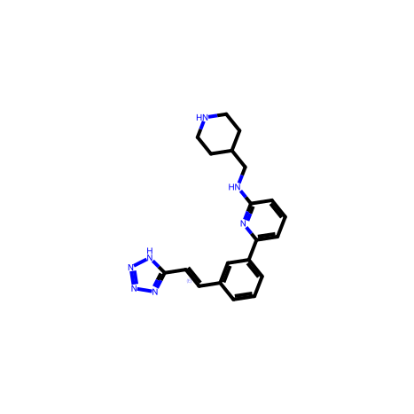 C(=C\c1nnn[nH]1)/c1cccc(-c2cccc(NCC3CCNCC3)n2)c1